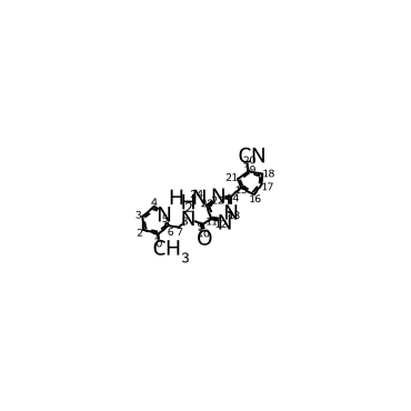 Cc1cccnc1CNC(=O)c1nnc(-c2cccc(C#N)c2)nc1N